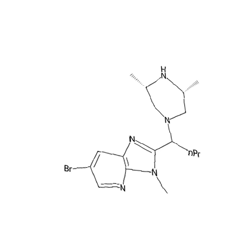 CCCC(c1nc2cc(Br)cnc2n1C)N1C[C@@H](C)N[C@@H](C)C1